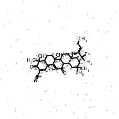 CC/C=C(\NC12CCC3C(C(=O)C=C4C5(C)C=C(C#N)C(=O)C(C)(C)C5CCC43C)C1CC(C)(C)CC2)C(C)(F)F